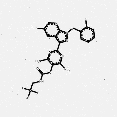 Nc1nc(-c2nn(Cc3ccccc3F)c3ncc(F)cc23)nc(N)c1OC(=O)NCC(F)(F)F